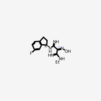 CCNC(=N)/C(=N\O)C(=N)N[C@@H]1CCc2ccc(F)cc21